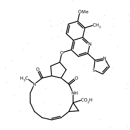 COc1ccc2c(OC3CC4C(=O)NC5(C(=O)O)CC5C=CCCCCN(C)C(=O)C4C3)cc(-c3nccs3)nc2c1C